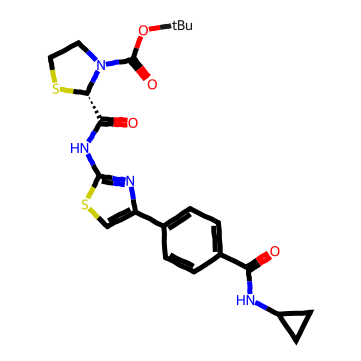 CC(C)(C)OC(=O)N1CCS[C@H]1C(=O)Nc1nc(-c2ccc(C(=O)NC3CC3)cc2)cs1